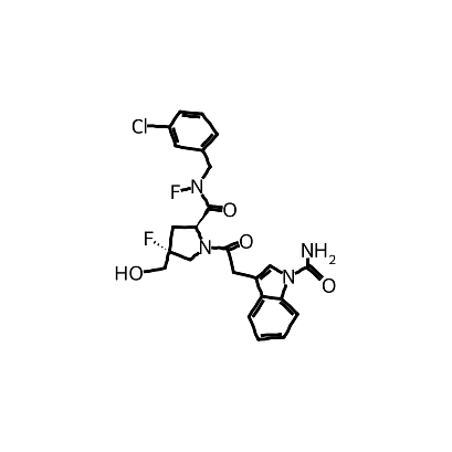 NC(=O)n1cc(CC(=O)N2C[C@@](F)(CO)C[C@H]2C(=O)N(F)Cc2cccc(Cl)c2)c2ccccc21